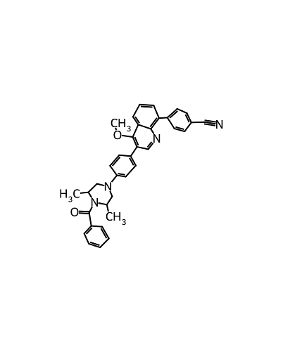 COc1c(-c2ccc(N3CC(C)N(C(=O)c4ccccc4)C(C)C3)cc2)cnc2c(-c3ccc(C#N)cc3)cccc12